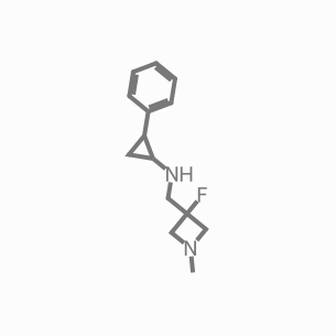 CN1CC(F)(CNC2CC2c2ccccc2)C1